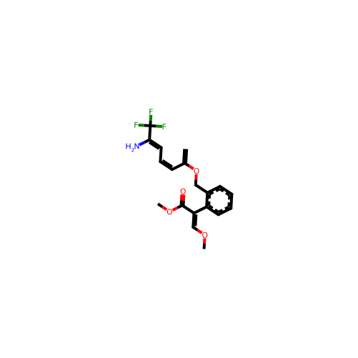 C=C(/C=C\C=C(/N)C(F)(F)F)OCc1ccccc1/C(=C\OC)C(=O)OC